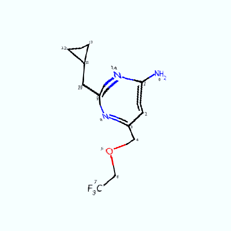 Nc1cc(COCC(F)(F)F)nc(CC2CC2)n1